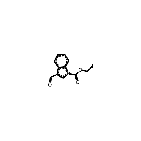 O=Cc1cn(C(=O)OCI)c2ccccc12